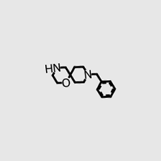 c1ccc(CN2CCC3(CC2)CNCCO3)cc1